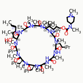 C/C=C/C[C@@H](C)[C@@H](O)[C@H]1C(=O)N[C@@H](CC)C(=O)N(C)[C@H](C)C(=O)N(C)[C@](C=O)([C@H](C)CCCOC(=O)N(C)C2CCN(C)CC2)N[C@@H](C(C)C)C(=O)N(C)[C@@H](CCC(C)C)C(=O)N[C@@H](C)C(=O)N[C@H](C)C(=O)N(C)[C@@H](CC(C)C)C(=O)N(C)[C@@H](CC(C)C)C(=O)N(C)[C@@H](C(C)C)C(=O)N1C